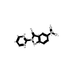 O=[N+]([O-])c1ccc2[se]n(-c3ncccn3)c(=S)c2c1